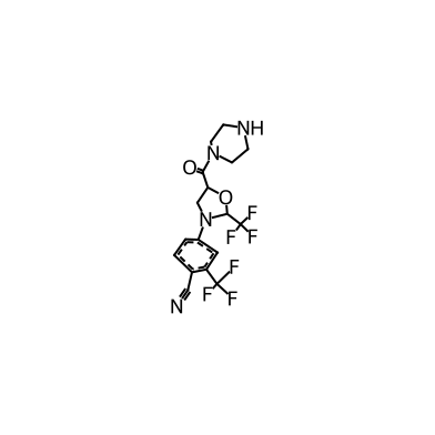 N#Cc1ccc(N2CC(C(=O)N3CCNCC3)OC2C(F)(F)F)cc1C(F)(F)F